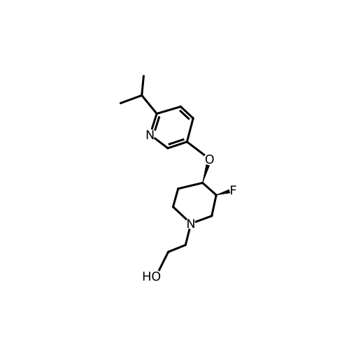 CC(C)c1ccc(O[C@@H]2CCN(CCO)C[C@@H]2F)cn1